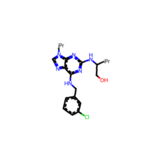 CC(C)C(CO)Nc1nc(NCc2cccc(Cl)c2)c2ncn(C(C)C)c2n1